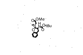 COC(=O)CN(C)C(=O)C(Cc1ccccc1)NC(=O)OC(C)(C)C